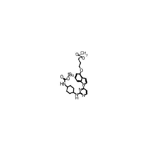 CC(C)(C)OC(=O)NC1CCC(Nc2nccc(-n3ccc4c(OCCCS(C)(=O)=O)cccc43)n2)CC1